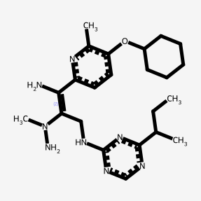 CCC(C)c1ncnc(NC/C(=C(/N)c2ccc(OC3CCCCC3)c(C)n2)N(C)N)n1